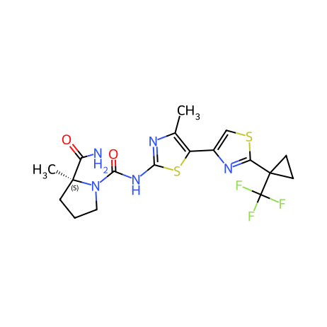 Cc1nc(NC(=O)N2CCC[C@@]2(C)C(N)=O)sc1-c1csc(C2(C(F)(F)F)CC2)n1